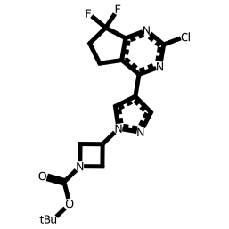 CC(C)(C)OC(=O)N1CC(n2cc(-c3nc(Cl)nc4c3CCC4(F)F)cn2)C1